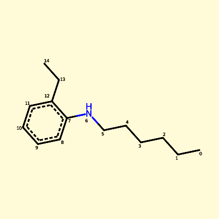 CCCCCCNc1ccccc1CC